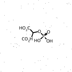 O=C(O)C(OP(=O)(O)O)C(=O)O